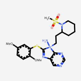 COc1ccc(OC)c(SC2=Nc3cncnc3[N+]2(N)CCC2CCCCN2S(C)(=O)=O)c1